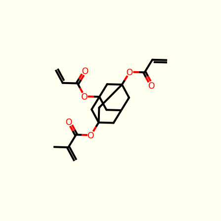 C=CC(=O)OC12CC3CC(OC(=O)C=C)(C1)CC(OC(=O)C(=C)C)(C3)C2